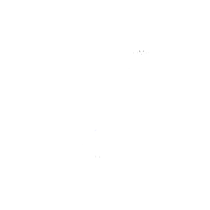 COc1ccc(/C=C/C(C)O)cc1